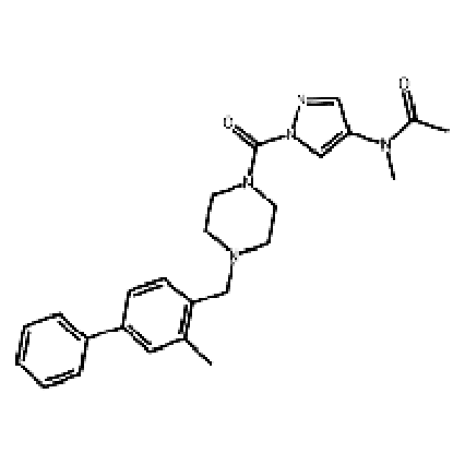 CC(=O)N(C)c1cnn(C(=O)N2CCN(Cc3ccc(-c4ccccc4)cc3C)CC2)c1